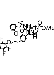 COC(=O)N1C[C@H]2CC(c3ccc(CCCOc4c(F)ccc(F)c4F)cc3)=C(C(=O)NC3(Cc4ccccc4Cl)CC3)[C@@H](C1)N2